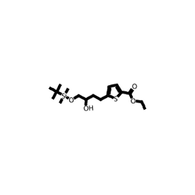 CCOC(=O)c1ccc(CCC(O)CO[Si](C)(C)C(C)(C)C)s1